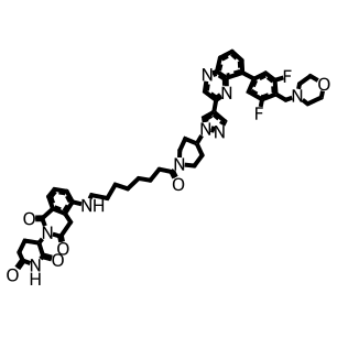 O=C1CCC(N2C(=O)Cc3c(NCCCCCCCC(=O)N4CCC(n5cc(-c6cnc7cccc(-c8cc(F)c(CN9CCOCC9)c(F)c8)c7n6)cn5)CC4)cccc3C2=O)C(=O)N1